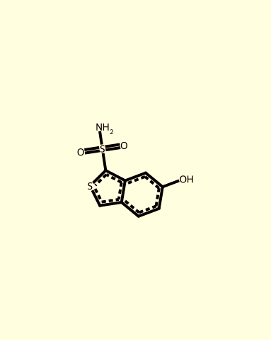 NS(=O)(=O)c1scc2ccc(O)cc12